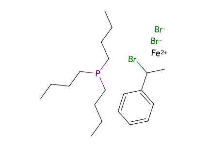 CC(Br)c1ccccc1.CCCCP(CCCC)CCCC.[Br-].[Br-].[Fe+2]